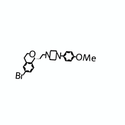 COc1ccc(N2CCN(CC[C@H]3OCCc4cc(Br)ccc43)CC2)cc1